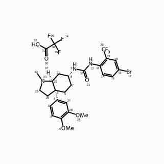 COc1ccc([C@@]23CC[C@@H](NC(=O)Nc4ccc(Br)cc4C(F)(F)F)C[C@@H]2N(C)CC3)cc1OC.O=C(O)C(F)(F)F